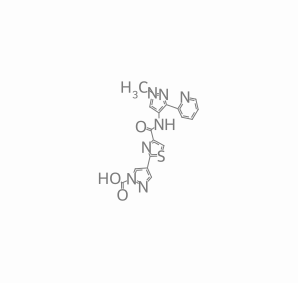 Cn1cc(NC(=O)c2csc(-c3cnn(C(=O)O)c3)n2)c(-c2ccccn2)n1